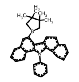 CC1(C)CB(c2cc3ccccc3c3c2c2ccc4ccccc4c2n3-c2ccccc2)CC1(C)C